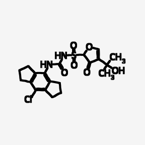 CC(C)(O)C1=COC(S(=O)(=O)NC(=O)Nc2c3c(c(Cl)c4c2CCC4)CCC3)C1=O